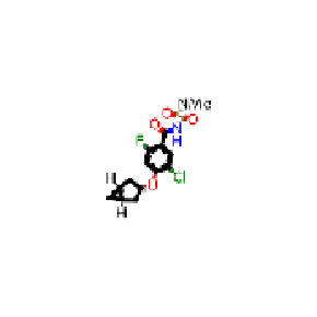 CNS(=O)(=O)NC(=O)c1cc(Cl)c(O[C@@H]2C[C@@H]3C[C@@H]3C2)cc1F